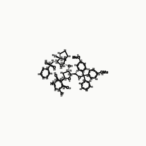 COc1ccc(C(OC[C@H]2O[C@@H](n3c(=O)[nH]cc(Br)c3=O)C[C@@H]2O[P@]2O[C@H](CS(=O)(=O)c3ccccc3)[C@@H]3CCCN32)(c2ccccc2)c2ccc(OC)cc2)cc1